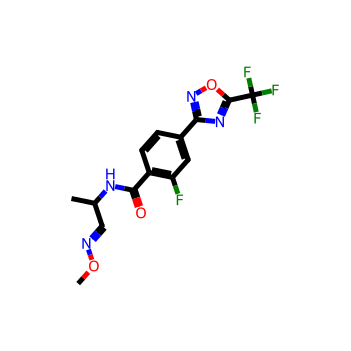 CON=CC(C)NC(=O)c1ccc(-c2noc(C(F)(F)F)n2)cc1F